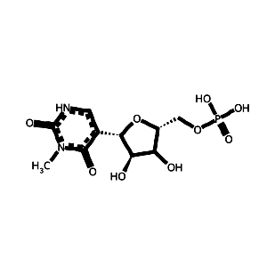 Cn1c(=O)[nH]cc([C@@H]2O[C@H](COP(=O)(O)O)C(O)[C@H]2O)c1=O